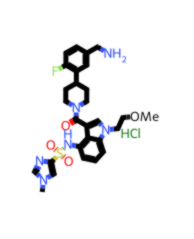 COCCn1cc(C(=O)N2CCC(c3cc(CN)ccc3F)CC2)c2c(NS(=O)(=O)c3cn(C)cn3)cccc21.Cl